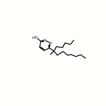 CCCCCCCC(C)(CCCCC)c1ccc(O)nn1